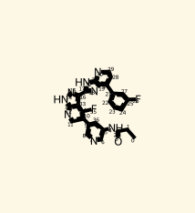 CCC(=O)Nc1cncc(-c2cnc3[nH]nc(-c4nc5c(-c6cccc(F)c6)ccnc5[nH]4)c3c2F)c1